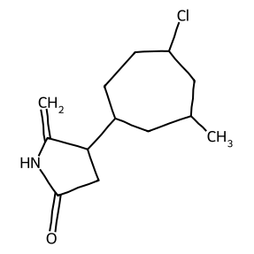 C=C1NC(=O)CC1C1CCC(Cl)CC(C)C1